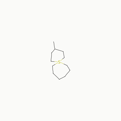 CC1CCS2(CCCCCC2)CC1